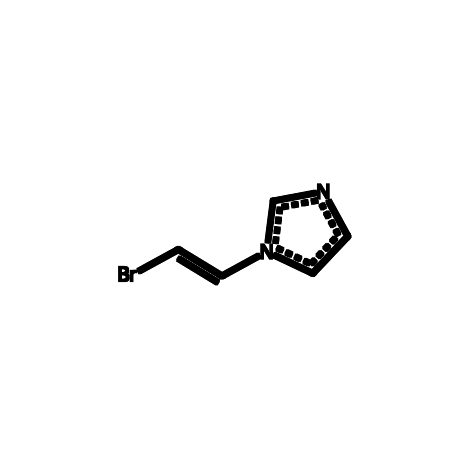 BrC=Cn1ccnc1